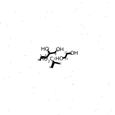 C=C(C)C(=O)O.CC=CC(O)CO.OCCO